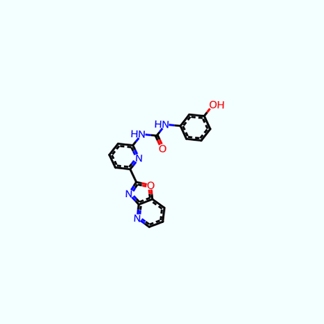 O=C(Nc1cccc(O)c1)Nc1cccc(-c2nc3ncccc3o2)n1